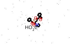 O=C(SC(CC(=O)c1occ2ccccc12)C(=O)N1CCC[C@H]1C(=O)O)c1ccccc1